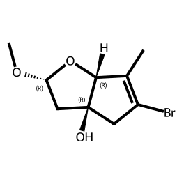 CO[C@H]1C[C@@]2(O)CC(Br)=C(C)[C@H]2O1